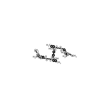 COCCOc1nc(N)c2nc(O)n(Cc3ccc(CNC(=O)CCCC(=O)Nc4ccc5cc(C)cc(O)c5c4/N=N/c4ccc(-c5ccc(/N=N/c6c(NC(=O)CCCC(=O)NCc7ccc(Cn8c(O)nc9c(N)nc(OCCOC)nc98)cc7)ccc7cc(C)cc(O)c67)cc5)cc4)cc3)c2n1